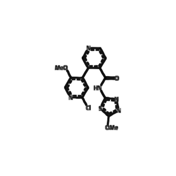 COc1nnc(NC(=O)c2ccncc2-c2cc(Cl)ncc2OC)s1